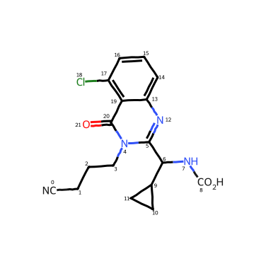 N#CCCCn1c(C(NC(=O)O)C2CC2)nc2cccc(Cl)c2c1=O